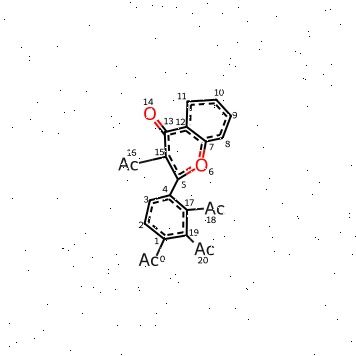 CC(=O)c1ccc(-c2oc3ccccc3c(=O)c2C(C)=O)c(C(C)=O)c1C(C)=O